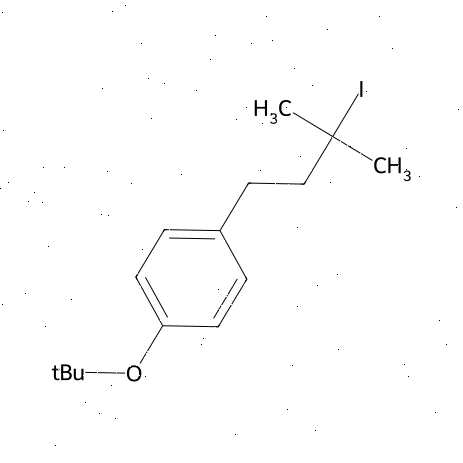 CC(C)(I)CCc1ccc(OC(C)(C)C)cc1